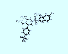 CCCC(CN(CCC)S(=O)(=O)c1sc2ccc(F)cc2c1C)c1ccc(S(=O)(=O)O)cc1